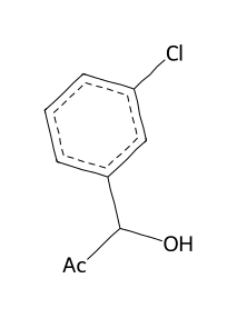 CC(=O)C(O)c1cccc(Cl)c1